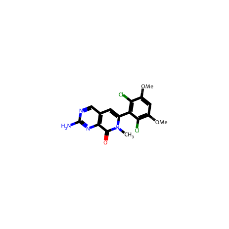 COc1cc(OC)c(Cl)c(-c2cc3cnc(N)nc3c(=O)n2C)c1Cl